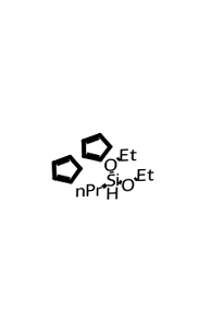 C1=CCC=C1.C1=CCC=C1.CCC[SiH](OCC)OCC